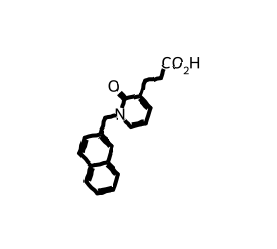 O=C(O)CCc1cccn(Cc2ccc3ccccc3c2)c1=O